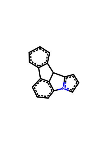 c1ccc2c(c1)-c1cccc3c1C2c1cccn1-3